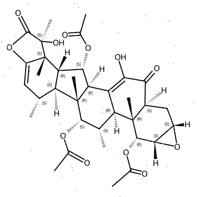 CC(=O)O[C@H]1[C@@H]2[C@H]([C@H](C)C=C3OC(=O)[C@@](C)(O)[C@@]32C)[C@]2(C)[C@@H]1C1=C(O)C(=O)[C@H]3C[C@@H]4O[C@@H]4[C@H](OC(C)=O)[C@]3(C)[C@H]1[C@H](C)[C@@H]2OC(C)=O